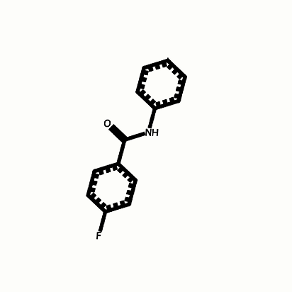 O=C(Nc1cc[c]cc1)c1ccc(F)cc1